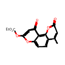 CCOC(=O)Oc1cc(=O)c2c(ccc3c(C)cc(=O)oc32)o1